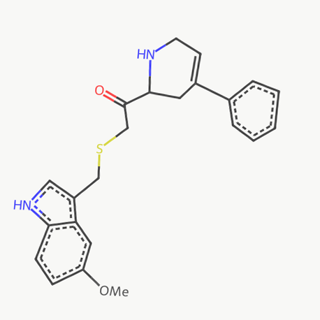 COc1ccc2[nH]cc(CSCC(=O)C3CC(c4ccccc4)=CCN3)c2c1